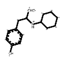 O=[C]C(Cc1ccc(O)cc1)NC1CCCCC1